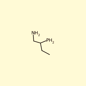 CCC(P)CN